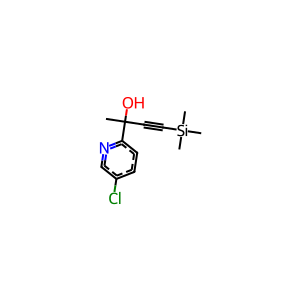 CC(O)(C#C[Si](C)(C)C)c1ccc(Cl)cn1